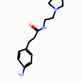 Nc1ccc(CCC(=O)NCCN2CCCC2)cc1